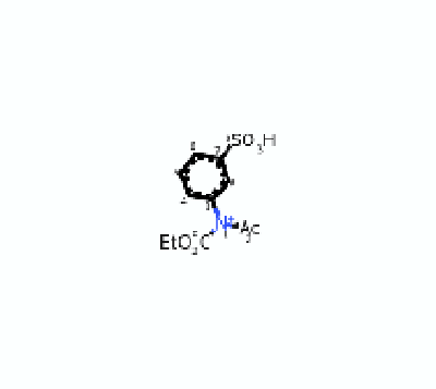 CCOC(=O)[N+](C(C)=O)c1cccc(S(=O)(=O)O)c1